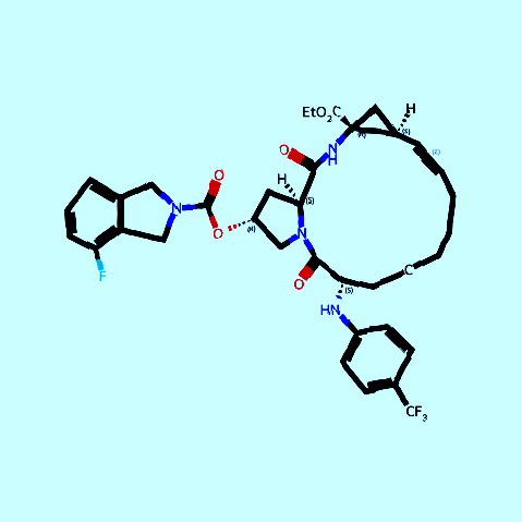 CCOC(=O)[C@@]12C[C@H]1/C=C\CCCCC[C@H](Nc1ccc(C(F)(F)F)cc1)C(=O)N1C[C@H](OC(=O)N3Cc4cccc(F)c4C3)C[C@H]1C(=O)N2